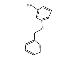 CC(C)(C)c1cccc(OCc2ccccn2)c1